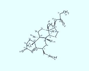 C#CC[C@@H]1C[C@H]2[C@@H]3CC[C@H](OC(=O)CC)[C@@]3(C)CC[C@@H]2[C@@]2(C)CCC(=O)C=C12